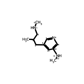 CNCC(C)Cc1cncc(NC)c1